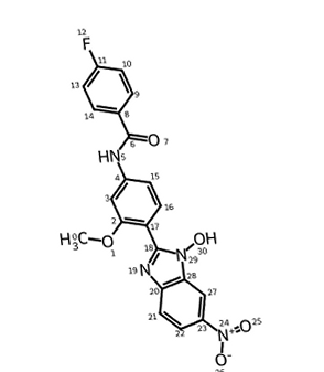 COc1cc(NC(=O)c2ccc(F)cc2)ccc1-c1nc2ccc([N+](=O)[O-])cc2n1O